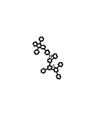 c1ccc(-c2cc(-c3ccccc3)c3sc4c(-c5ccc6c(c5)c5ccccc5n6-c5ccc(-c6ccc7c(-c8ccccc8)c8ccccc8c(-c8ccccc8)c7c6)cc5)cc(-c5ccccc5)cc4c3c2)cc1